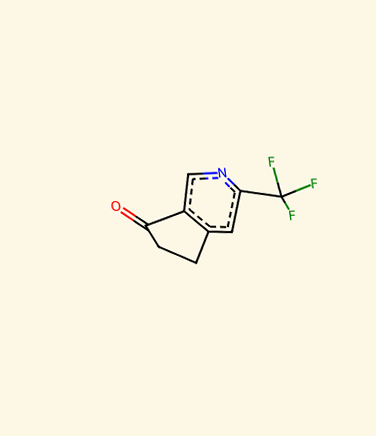 O=C1CCc2cc(C(F)(F)F)ncc21